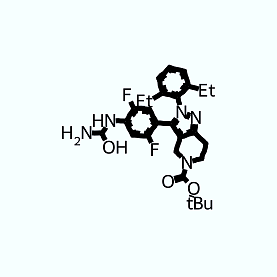 CCc1cccc(CC)c1-n1nc2c(c1-c1cc(F)c(NC(N)O)cc1F)CN(C(=O)OC(C)(C)C)CC2